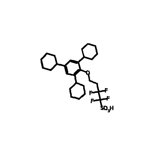 O=S(=O)(O)C(F)(F)C(F)(F)CCOc1c(C2CCCCC2)cc(C2CCCCC2)cc1C1CCCCC1